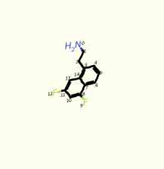 NCCc1cccc2c(F)cc(F)cc12